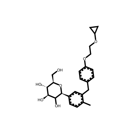 Cc1ccc([C@@H]2O[C@H](CO)[C@@H](O)[C@H](O)C2O)cc1Cc1ccc(OCCOC2CC2)cc1